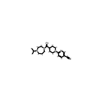 CC(C)N1CCCN(C(=O)C2CCN(c3ccc(C#N)cn3)CC2)CC1